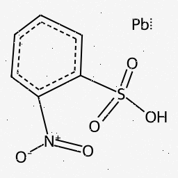 O=[N+]([O-])c1ccccc1S(=O)(=O)O.[Pb]